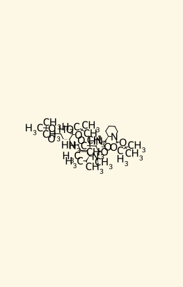 C/C(=C\[C@H](C(C)C)N(C)C(=O)[C@@H](NC(=O)[C@H]1CCCCN1C(=O)OC(C)(C)C)C(C)(C)C)C(=O)N[C@H](CCC(=O)OC(C)(C)C)C(O)OC(C)(C)C